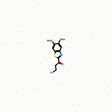 COc1cc2nc(C(=O)CCC(C)=O)sc2cc1OC